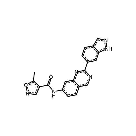 Cc1oncc1C(=O)Nc1ccc2cnc(-c3ccc4cn[nH]c4c3)nc2c1